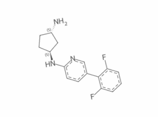 N[C@H]1CC[C@H](Nc2ccc(-c3c(F)cccc3F)cn2)C1